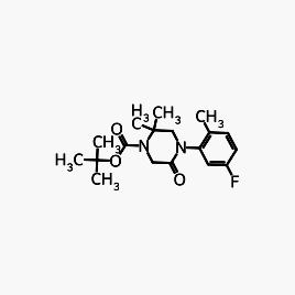 Cc1ccc(F)cc1N1CC(C)(C)N(C(=O)OC(C)(C)C)CC1=O